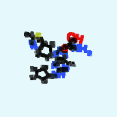 Cc1nc2ccc(-n3nnc4cnc(NC5CCCC5)nc43)cc2s1.NC(=O)O